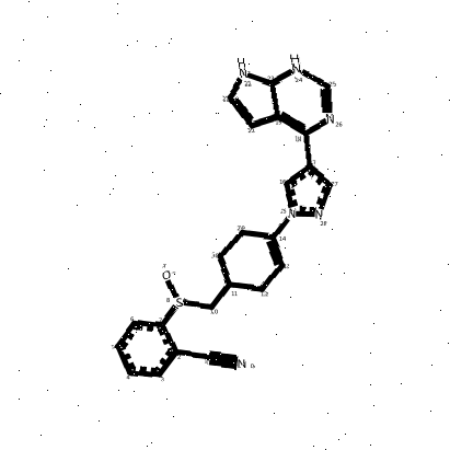 N#Cc1ccccc1[S+]([O-])CC1CC=C(n2cc(C3=C4C=CNC4NC=N3)cn2)CC1